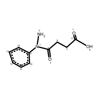 NN(C(=O)CCC(=O)O)c1ccccc1